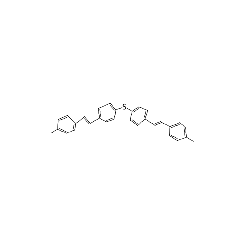 Cc1ccc(/C=C/c2ccc(Sc3ccc(/C=C/c4ccc(C)cc4)cc3)cc2)cc1